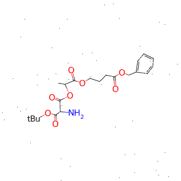 CC(OC(=O)C(N)C(=O)OC(C)(C)C)C(=O)OCCCC(=O)OCc1ccccc1